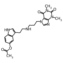 CC(=O)Oc1ccc2[nH]cc(CCNCCCn3cnc4c3c(=O)n(C)c(=O)n4C)c2c1